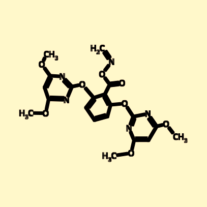 C=NOC(=O)c1c(Oc2nc(OC)cc(OC)n2)cccc1Oc1nc(OC)cc(OC)n1